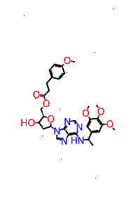 COc1ccc(CCC(=O)OC[C@H]2O[C@@H](n3cnc4c(NC(C)c5cc(OC)c(OC)c(OC)c5)ncnc43)CC2O)cc1